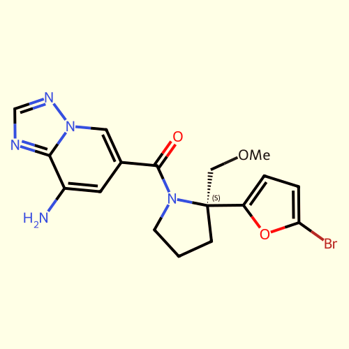 COC[C@]1(c2ccc(Br)o2)CCCN1C(=O)c1cc(N)c2ncnn2c1